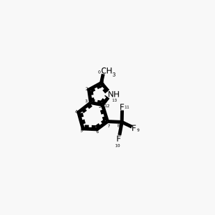 Cc1cc2cccc(C(F)(F)F)c2[nH]1